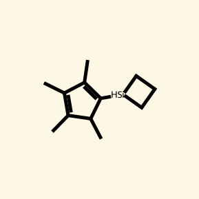 CC1=C(C)C(C)C([SiH]2CCC2)=C1C